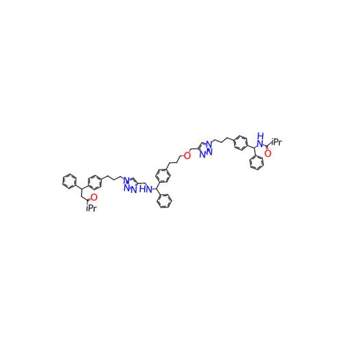 CC(C)C(=O)CC(c1ccccc1)c1ccc(CCCn2cc(CNC(c3ccccc3)c3ccc(CCCOCc4cn(CCCc5ccc(C(NC(=O)C(C)C)c6ccccc6)cc5)nn4)cc3)nn2)cc1